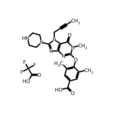 CC#CCn1c(N2CCNCC2)nc2nc(Oc3c(C)cc(C(=O)O)cc3C)n(C)c(=O)c21.O=C(O)C(F)(F)F